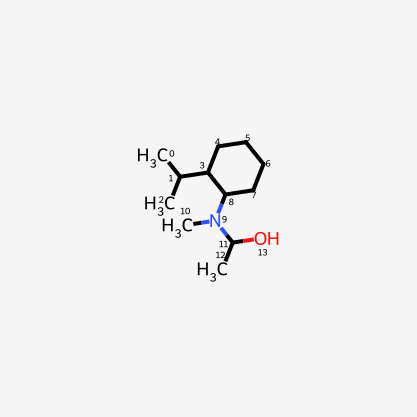 CC(C)C1CCCCC1N(C)C(C)O